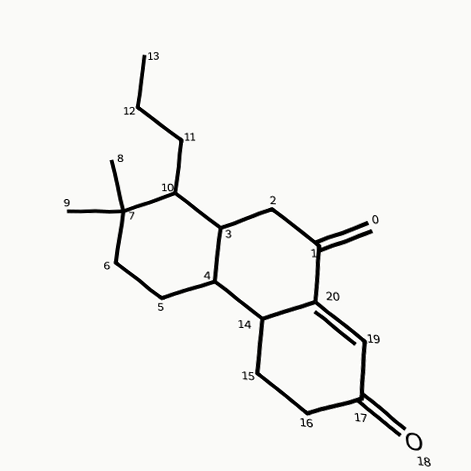 C=C1CC2C(CCC(C)(C)C2CCC)C2CCC(=O)C=C12